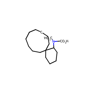 O=C(O)N(C(=O)O)C1CCCCC12CCCCCCCCC2